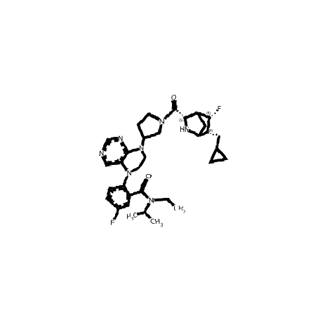 CCN(C(=O)c1cc(F)ccc1N1CCN(C2CCN(C(=O)[C@H]3NC4CC3[C@H](F)[C@@H]4CC3CC3)C2)c2ncncc21)C(C)C